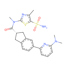 Cc1nc(N(C)C(=O)[C@H]2Cc3ccc(-c4cccc(N(C)C)n4)cc3C2)sc1S(N)(=O)=O